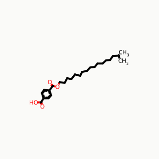 CC(C)CCCCCCCCCCCCCCCOC(=O)c1ccc(C(=O)O)cc1